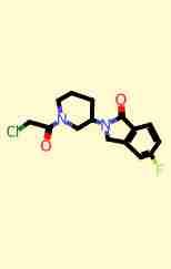 O=C(CCl)N1CCCC(N2Cc3cc(F)ccc3C2=O)C1